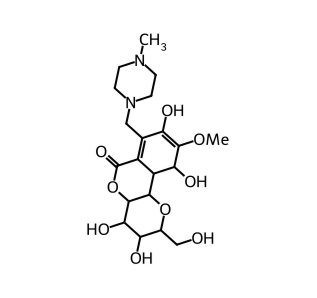 COC1=C(O)C(CN2CCN(C)CC2)=C2C(=O)OC3C(O)C(O)C(CO)OC3C2C1O